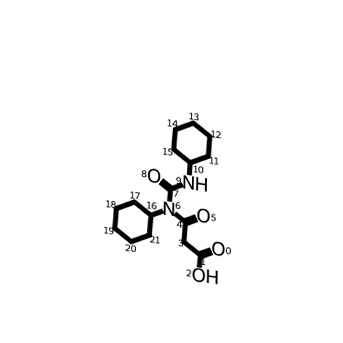 O=C(O)CC(=O)N(C(=O)NC1CCCCC1)C1CCCCC1